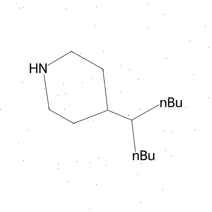 CCCCC(CCCC)C1CCNCC1